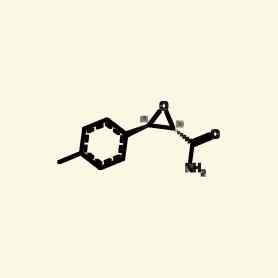 Cc1ccc([C@H]2O[C@@H]2C(N)=O)cc1